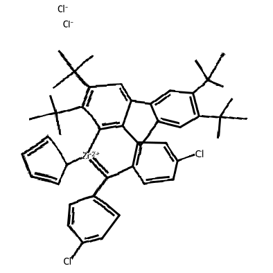 CC(C)(C)c1cc2c(cc1C(C)(C)C)-c1cc(C(C)(C)C)c(C(C)(C)C)[c]([Zr+2](=[C](c3ccc(Cl)cc3)c3ccc(Cl)cc3)[CH]3C=CC=C3)c1C2.[Cl-].[Cl-]